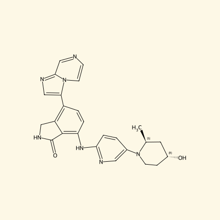 C[C@H]1C[C@H](O)CCN1c1ccc(Nc2ccc(-c3cnc4cnccn34)c3c2C(=O)NC3)nc1